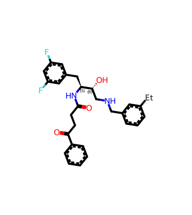 CCc1cccc(CNC[C@@H](O)[C@H](Cc2cc(F)cc(F)c2)NC(=O)CCC(=O)c2ccccc2)c1